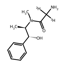 [2H]C([2H])(N)C(=O)N(C)[C@H](C)[C@H](O)c1ccccc1